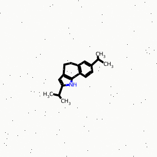 CC(C)c1ccc2c(c1)CCc1cc(C(C)C)[nH]c1-2